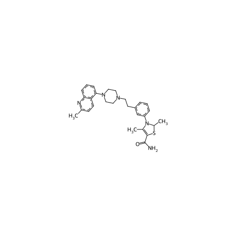 CC1=C(C(N)=O)SC(C)N1c1cccc(CCN2CCN(c3cccc4nc(C)ccc34)CC2)c1